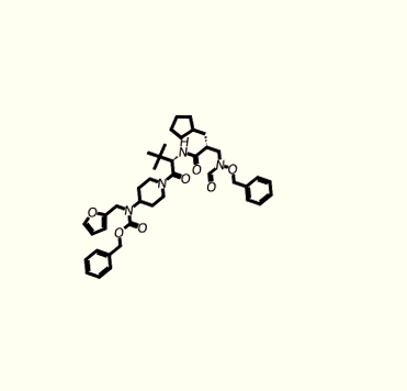 CC(C)(C)[C@H](NC(=O)[C@H](CC1CCCC1)CN(C=O)OCc1ccccc1)C(=O)N1CCC(N(Cc2ccco2)C(=O)OCc2ccccc2)CC1